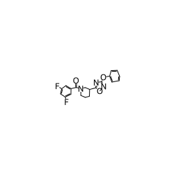 O=C(c1cc(F)cc(F)c1)N1CCCC(c2nc(Oc3ccccc3)no2)C1